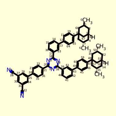 CC1C[C@@H]2C[C@H](C)CC(c3ccc(-c4cccc(-c5nc(-c6ccc(-c7cc(C#N)cc(C#N)c7)cc6)nc(-c6cccc(-c7ccc(C89C[C@H](C)C[C@H](C[C@H](C)C8)C9)cc7)c6)n5)c4)cc3)(C1)C2